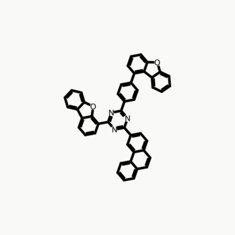 c1ccc2c(c1)ccc1ccc(-c3nc(-c4ccc(-c5cccc6oc7ccccc7c56)cc4)nc(-c4cccc5c4oc4ccccc45)n3)cc12